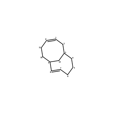 C1=C\CC2CCC/C=C/C(CC/1)C2